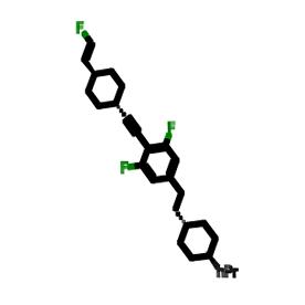 CCC[C@H]1CC[C@H](CCc2cc(F)c(C#C[C@H]3CC[C@H](C=CF)CC3)c(F)c2)CC1